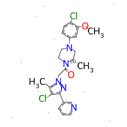 COc1cc(N2CCN(C(=O)Cn3nc(-c4cccnc4)c(Cl)c3C)[C@@H](C)C2)ccc1Cl